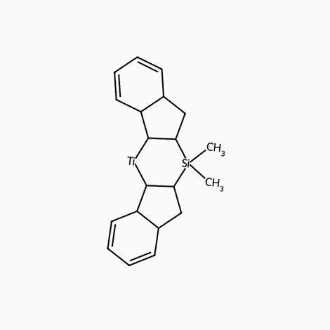 C[Si]1(C)C2CC3C=CC=CC3[CH]2[Ti][CH]2C3C=CC=CC3CC21